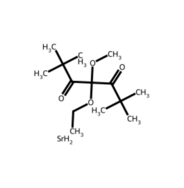 CCOC(OC)(C(=O)C(C)(C)C)C(=O)C(C)(C)C.[SrH2]